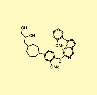 COc1cc(N2CCCN(CC(O)CO)CC2)ccc1Nc1ncc2ccc(-c3ccccc3OC)n2n1